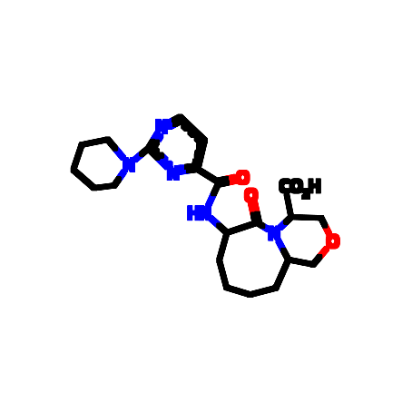 O=C(NC1CCCCC2COCC(C(=O)O)N2C1=O)c1ccnc(N2CCCCC2)n1